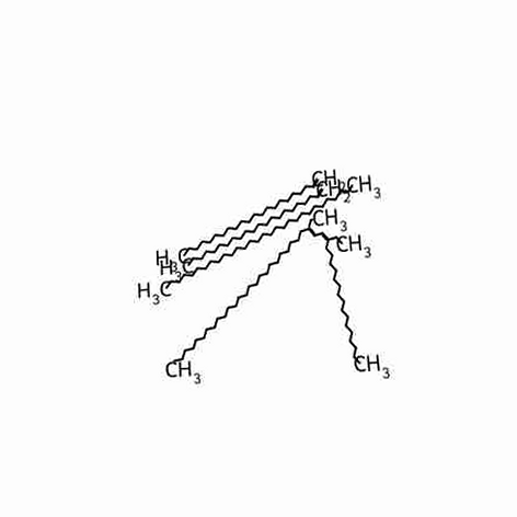 C=CCCCCCCCCCCCCCCCCCCCC.C=CCCCCCCCCCCCCCCCCCCCC.CC=CCCCCCCCCCCCCCCCCCCCCCCCCCCC.CCCCCCCCCCCCCCCCCCCCCCCCCCC(=CC=C(CC)CCCCCCCCCCCCCCCC)CC